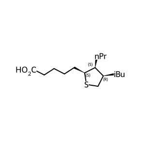 CCC[C@@H]1[C@H](CCCCC(=O)O)SC[C@@H]1C(C)CC